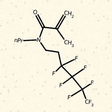 C=C(C)C(=O)N(CCC)CCC(F)(F)C(F)(F)C(F)(F)C(F)(F)F